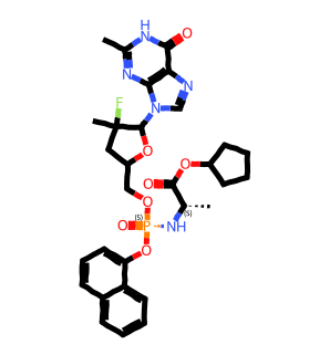 Cc1nc2c(ncn2C2OC(CO[P@@](=O)(N[C@@H](C)C(=O)OC3CCCC3)Oc3cccc4ccccc34)CC2(C)F)c(=O)[nH]1